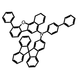 C1=Cc2c(N(c3ccc(-c4ccccc4)cc3)c3ccc4c(c3)C3(c5ccccc5-c5ccccc53)c3ccccc3-4)cc3c(oc4c(-c5ccccc5)cccc43)c2CC1